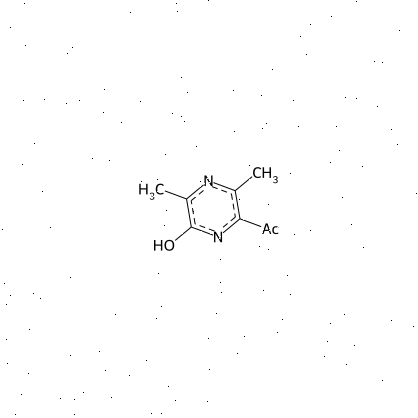 CC(=O)c1nc(O)c(C)nc1C